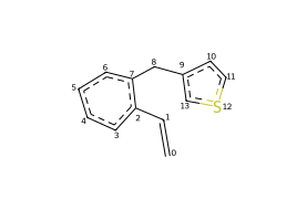 C=Cc1ccccc1Cc1ccsc1